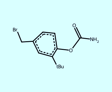 CC(C)(C)c1cc(CBr)ccc1OC(N)=O